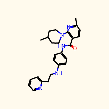 Cc1ccc(C(=O)Nc2ccc(NCCc3ccccn3)cc2)c(N2CCC(C)CC2)n1